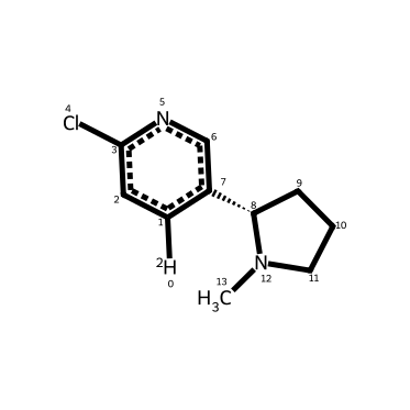 [2H]c1cc(Cl)ncc1[C@@H]1CCCN1C